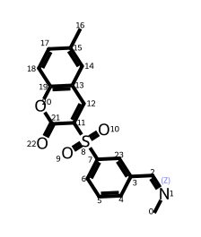 C/N=C\c1cccc(S(=O)(=O)c2cc3cc(C)ccc3oc2=O)c1